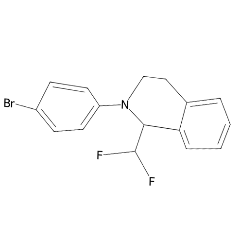 FC(F)C1c2ccccc2CCN1c1ccc(Br)cc1